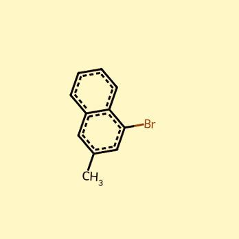 Cc1cc(Br)c2ccccc2c1